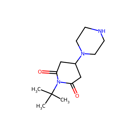 CC(C)(C)N1C(=O)CC(N2CCNCC2)CC1=O